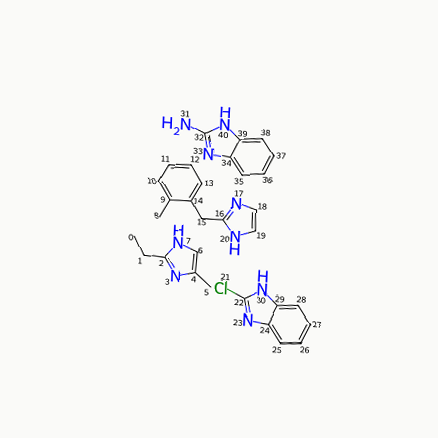 CCc1nc(C)c[nH]1.Cc1ccccc1Cc1ncc[nH]1.Clc1nc2ccccc2[nH]1.Nc1nc2ccccc2[nH]1